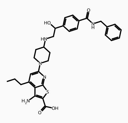 CCCc1cc(N2CCC(NCC(O)c3ccc(C(=O)NCc4ccccc4)cc3)CC2)nc2sc(C(=O)O)c(N)c12